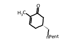 CCCCCC[C@@H]1CC=C(C)C(=O)C1